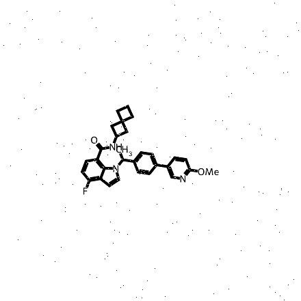 COc1ccc(-c2ccc(C(C)n3ccc4c(F)ccc(C(=O)NC5CC6(CCC6)C5)c43)cc2)cn1